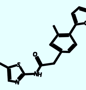 Cc1cnc(NC(=O)Cc2ccc(-c3ccco3)c(C)c2)s1